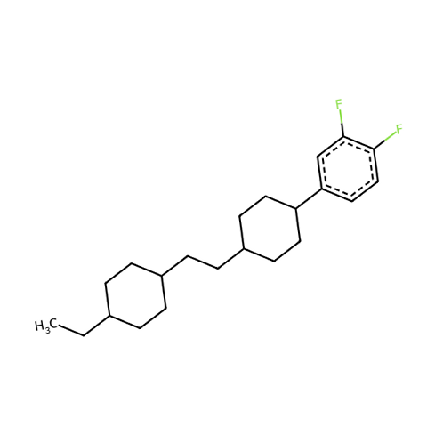 CCC1CCC(CCC2CCC(c3ccc(F)c(F)c3)CC2)CC1